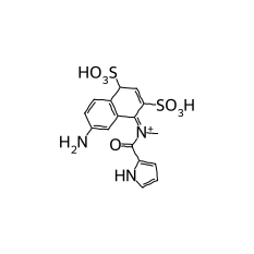 C[N+](C(=O)c1ccc[nH]1)=C1C(S(=O)(=O)O)=CC(S(=O)(=O)O)c2ccc(N)cc21